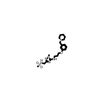 Cn1nc(CNS(C)(=O)=O)nc1NCCCOc1cccc(CN2CCCCC2)c1